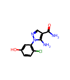 NC(=O)c1cnn(-c2cc(O)ccc2Cl)c1N